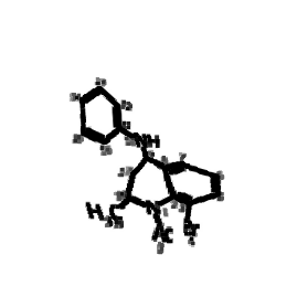 CC(=O)N1c2c(Br)cccc2C(Nc2ccccc2)CC1C